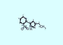 CCc1cc(-c2ccccc2[N+](=O)[O-])[nH]n1